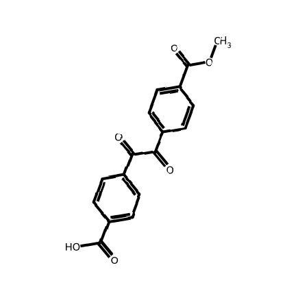 COC(=O)c1ccc(C(=O)C(=O)c2ccc(C(=O)O)cc2)cc1